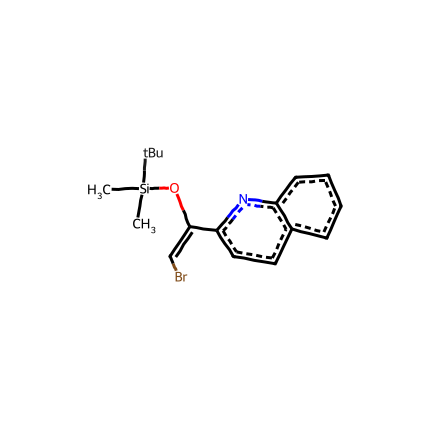 CC(C)(C)[Si](C)(C)O/C(=C/Br)c1ccc2ccccc2n1